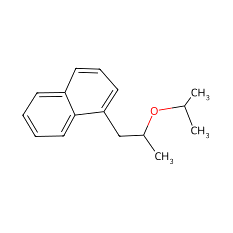 CC(C)OC(C)Cc1cccc2ccccc12